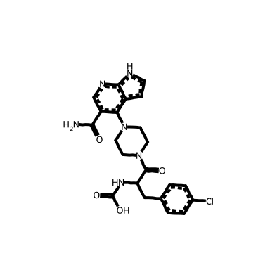 NC(=O)c1cnc2[nH]ccc2c1N1CCN(C(=O)C(Cc2ccc(Cl)cc2)NC(=O)O)CC1